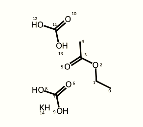 CCOC(C)=O.O=C(O)O.O=C(O)O.[KH]